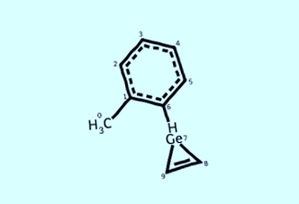 Cc1cccc[c]1[GeH]1[CH]=[CH]1